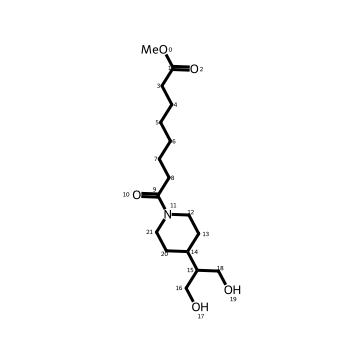 COC(=O)CCCCCCC(=O)N1CCC(C(CO)CO)CC1